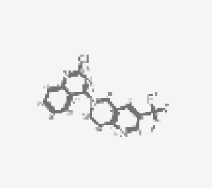 FC(F)(F)c1cnc2c(c1)CN(c1nc(Cl)nc3ccccc13)CC2